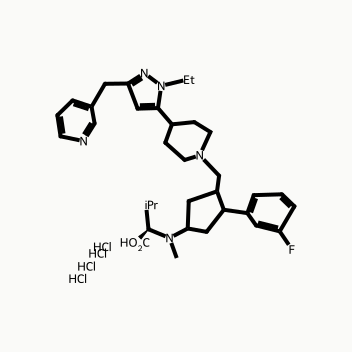 CCn1nc(Cc2cccnc2)cc1C1CCN(CC2CC(N(C)[C@@H](C(=O)O)C(C)C)CC2c2cccc(F)c2)CC1.Cl.Cl.Cl.Cl